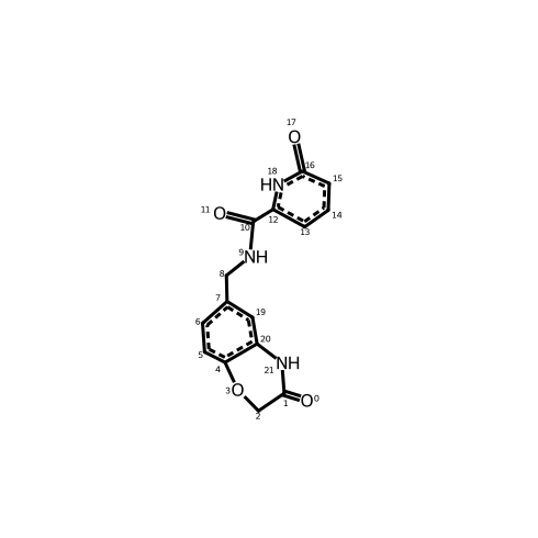 O=C1COc2ccc(CNC(=O)c3cccc(=O)[nH]3)cc2N1